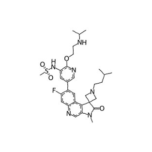 CC(C)CCN1CC2(C1)C(=O)N(C)c1cnc3cc(F)c(-c4cnc(OCCNC(C)C)c(NS(C)(=O)=O)c4)cc3c12